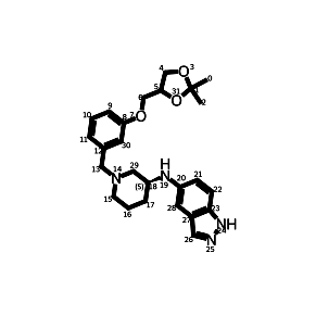 CC1(C)OCC(COc2cccc(CN3CCC[C@H](Nc4ccc5[nH]ncc5c4)C3)c2)O1